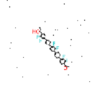 CCC(O)c1ccc(C2=CCC(c3ccc(C4=CCC(c5ccc(C6CO6)c(F)c5F)CC4)c(F)c3F)CC2)c(F)c1F